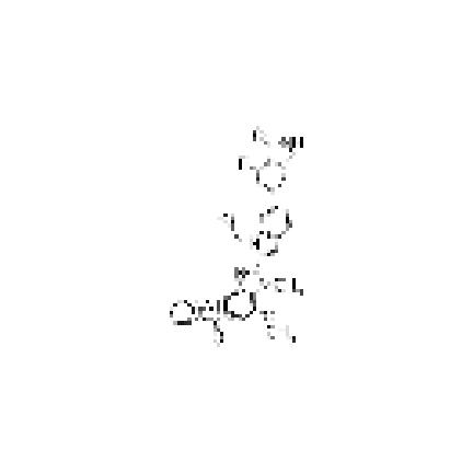 COc1cc(C(=O)N2CC3CCC2C3N)cc2nc(-c3cc4ccc(-c5cc(F)c6c(c5)CNC6=O)cc4n3CC3CC3)n(C)c12